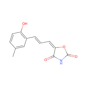 Cc1ccc(O)c(C=CC=C2OC(=O)NC2=O)c1